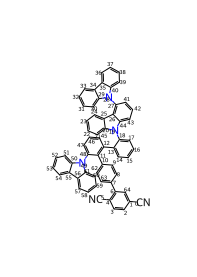 N#Cc1ccc(C#N)c(-c2ccc(-c3c(-c4ccccc4-n4c5ccccc5c5c(-n6c7ccccc7c7ccccc76)cccc54)cccc3-n3c4ccccc4c4ccccc43)cc2)c1